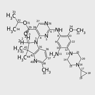 [2H]C1([2H])N(c2nc(Nc3cc(N)c(N4CCN(C5CC5)CC4)cc3OC)ncc2C(=O)OC(C)C)c2ccc(C)nc2C1(C)C